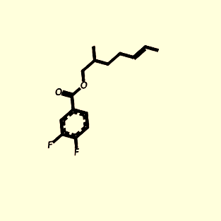 CC=CCCC(C)COC(=O)c1ccc(F)c(F)c1